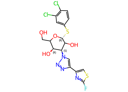 OCC1O[C@H](Sc2ccc(Cl)c(Cl)c2)C(O)[C@@H](n2cc(-c3csc(F)n3)nn2)[C@H]1O